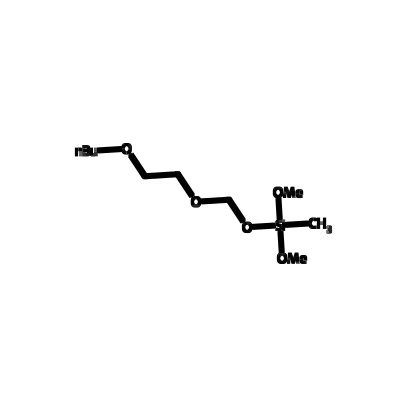 CCCCOCCOCO[Si](C)(OC)OC